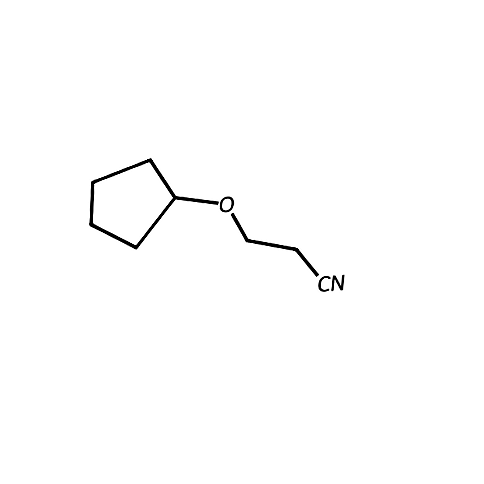 N#CCCOC1CCCC1